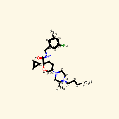 C[C@H]1CN([C@@H]2CC[C@@](C(=O)NCc3cc(F)cc(C(F)(F)F)c3)(C3CC3)OC2)CCN1CCCC(=O)O